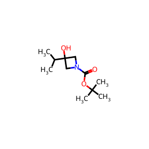 CC(C)C1(O)CN(C(=O)OC(C)(C)C)C1